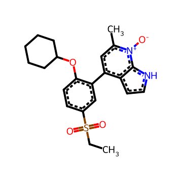 CCS(=O)(=O)c1ccc(OC2CCCCC2)c(-c2cc(C)[n+]([O-])c3[nH]ccc23)c1